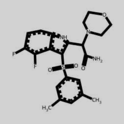 Cc1cc(C)cc(S(=O)(=O)c2c(C(C(N)=O)N3CCOCC3)[nH]c3ccc(F)c(F)c23)c1